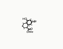 COC(=O)C1CCCc2c(O)cc(Br)cc21